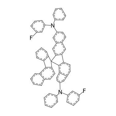 Fc1cccc(N(c2ccccc2)c2ccc3cc4c(cc3c2)C2(c3ccccc3-c3c2ccc2ccccc32)c2c-4ccc3cc(N(c4ccccc4)c4cccc(F)c4)ccc23)c1